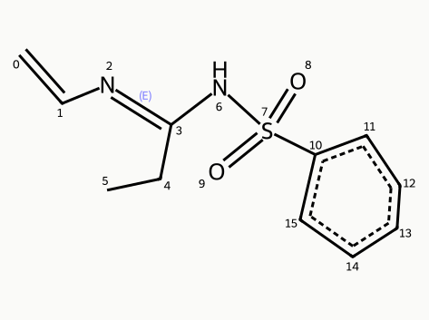 C=C/N=C(\CC)NS(=O)(=O)c1ccccc1